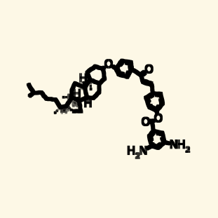 CC(C)CCC[C@@H](C)[C@H]1CC[C@H]2[C@@H]3CCC4CC(Oc5ccc(C(=O)C=Cc6ccc(OC(=O)c7cc(N)cc(N)c7)cc6)cc5)CC[C@]4(C)[C@H]3CC[C@]12C